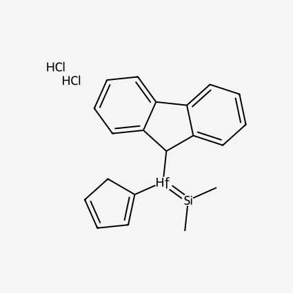 C[Si](C)=[Hf]([C]1=CC=CC1)[CH]1c2ccccc2-c2ccccc21.Cl.Cl